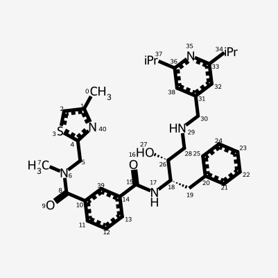 Cc1csc(CN(C)C(=O)c2cccc(C(=O)N[C@@H](Cc3ccccc3)[C@H](O)CNCc3cc(C(C)C)nc(C(C)C)c3)c2)n1